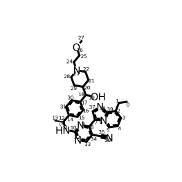 CCc1cccn2c(-c3nc(N[C@@H](C)c4ccc(C(O)C5CCN(CCOC)CC5)cc4)ncc3C#N)cnc12